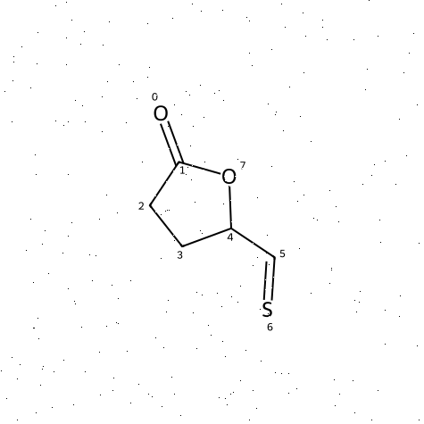 O=C1CCC(C=S)O1